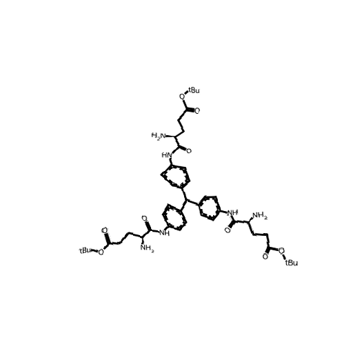 CC(C)(C)OC(=O)CC[C@H](N)C(=O)Nc1ccc(C(c2ccc(NC(=O)[C@@H](N)CCC(=O)OC(C)(C)C)cc2)c2ccc(NC(=O)[C@@H](N)CCC(=O)OC(C)(C)C)cc2)cc1